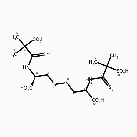 CC(C)(C(=S)NC(CSSC[C@H](NC(=S)C(C)(C)S(=O)(=O)O)C(=O)O)C(=O)O)S(=O)(=O)O